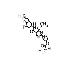 CCOc1nc(N2CCC(OC(=O)NC)C2)ncc1C(=O)Nc1cc(F)c2nn(C)cc2c1